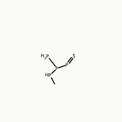 CPP(P)P=S